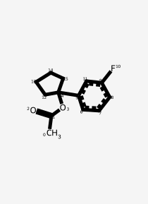 CC(=O)OC1(c2cccc(F)c2)CCCC1